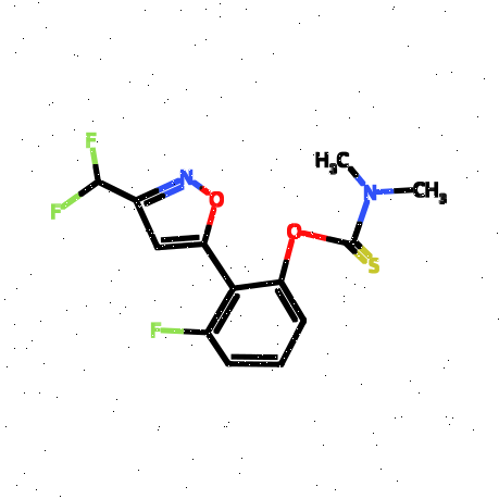 CN(C)C(=S)Oc1cccc(F)c1-c1cc(C(F)F)no1